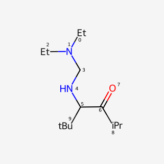 CCN(CC)CNC(C(=O)C(C)C)C(C)(C)C